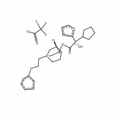 O=C(O[C@H]1C[N+]2(CCOc3ccccc3)CCC1CC2)[C@@](O)(c1cccs1)C1CCCC1.O=C([O-])C(F)(F)F